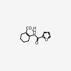 O=C(O)C1=C(NC(=O)c2ccco2)CCCC1